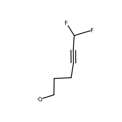 [O]CCCC#CC(F)F